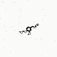 COCOc1ccc(CN=C=O)cc1OC